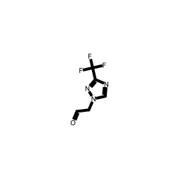 O=CCn1cnc(C(F)(F)F)n1